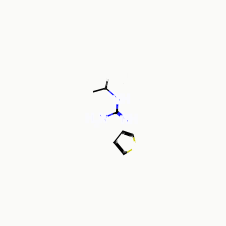 CC(NC(=N)N)C(=O)O.c1ccsc1